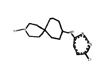 [2H]N1CCC2(CCC(Nc3ccc(Cl)nn3)CC2)CC1